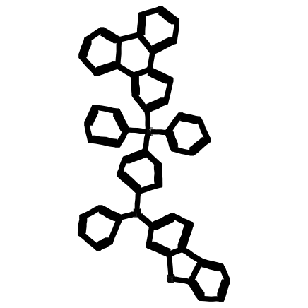 c1ccc(N(c2ccc([Si](c3ccccc3)(c3ccccc3)c3ccc4c5ccccc5c5ccccc5c4c3)cc2)c2ccc3c(c2)oc2ccccc23)cc1